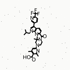 Cc1cc(N2CCN(C(=O)c3ccc4c(-c5ccc(C(F)(F)F)nc5)cn(CC(C)C)c4n3)C(C)(C)C2)nc(C)c1C(=O)O